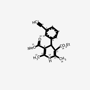 C#Cc1cccc(C2C(C(=O)OC)=C(C)NC(C)=C2C(=O)OCC)c1